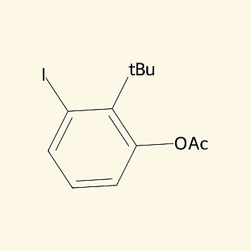 CC(=O)Oc1cccc(I)c1C(C)(C)C